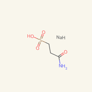 NC(=O)CCS(=O)(=O)O.[NaH]